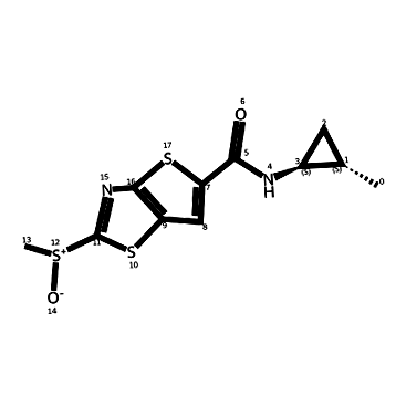 C[C@H]1C[C@@H]1NC(=O)c1cc2sc([S+](C)[O-])nc2s1